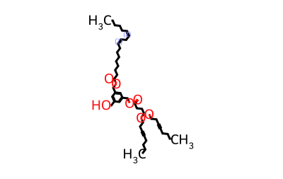 CCCCC#CCCOC(CCC(=O)OCc1cc(CO)cc(COC(=O)CCCCCCC/C=C\C/C=C\CCCCC)c1)OCCC#CCCCC